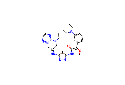 CCN(CC)c1cccc([C@@H](OC)C(=O)Nc2nnc(N[C@H](C)CN(CC)c3nccnn3)s2)c1